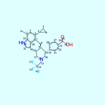 Cc1cc(C2CC2)c(C[C@@H]2CCN(CC(F)(F)F)C[C@H]2c2ccc(C(=O)O)cc2)c2cc[nH]c12